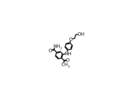 CC(=O)c1ccc(C(N)=O)cc1Nc1ccc(OCCO)cc1